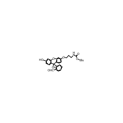 CC(C)(C)OC(=O)NCCCOc1ccc2c(c1)Oc1cc(O)ccc1C2(O)c1ccccc1C=O